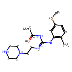 CCCSc1ccc([N+](=O)[O-])c(N/C(=N/CCN2CCNCC2)NC(=O)OC)c1